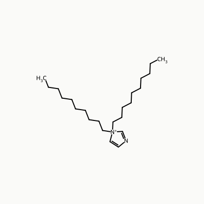 CCCCCCCCCC[N+]1(CCCCCCCCCC)C=CN=C1